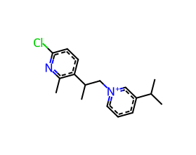 Cc1nc(Cl)ccc1C(C)C[n+]1cccc(C(C)C)c1